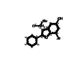 CC(C)(C)[SiH2]Cl.Oc1cc(Br)c2oc(-c3ccccc3)nc2c1